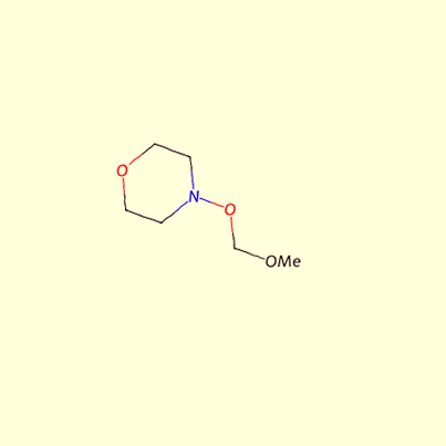 COCON1CCOCC1